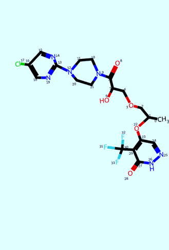 CC(COCC(O)C(=O)N1CCN(c2ncc(Cl)cn2)CC1)Oc1cn[nH]c(=O)c1C(F)(F)F